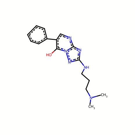 CN(C)CCCNc1nc2ncc(-c3ccccc3)c(O)n2n1